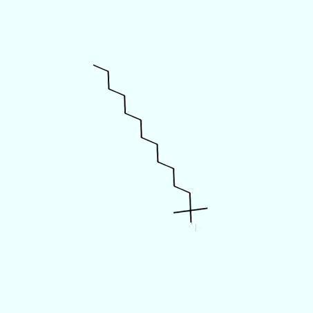 CCCCCCCCCCCCC(C)(C)S